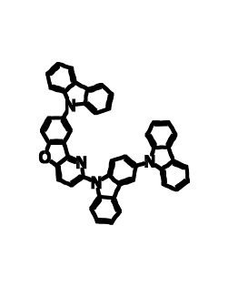 c1ccc2c(c1)c1ccccc1n2-c1ccc2oc3ccc(-n4c5ccccc5c5cc(-n6c7ccccc7c7ccccc76)ccc54)nc3c2c1